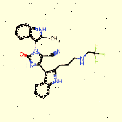 Cc1[nH]c2ccccc2c1-n1c(C#N)c(-c2c(CCCNCC(F)(F)F)[nH]c3ccccc23)[nH]c1=O